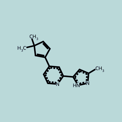 Cc1cc(-c2cc(C3=CC(C)(C)C=C3)ccn2)[nH]n1